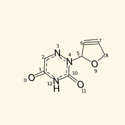 O=c1cnn([C]2C#C[CH]O2)c(=O)[nH]1